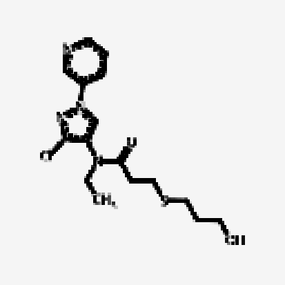 CCN(C(=O)CCSCCCO)c1cn(-c2cccnc2)nc1Cl